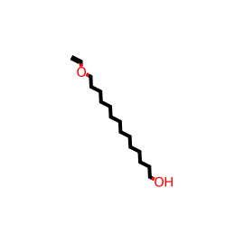 C=COCCCCCCCCCCCCCCO